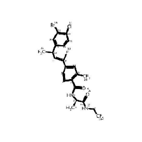 C[C@@H](NC(=O)c1ccc(/C(F)=C/C(c2ccc(Cl)c(Br)c2)C(F)(F)F)cc1C(F)(F)F)C(=O)NCC(F)(F)F